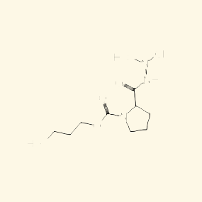 CCCCOC(=O)N1CCCC1C(=O)NN(C)C